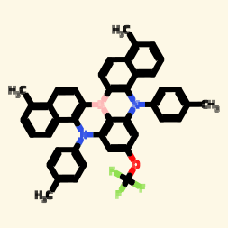 Cc1ccc(N2c3cc(OC(F)(F)F)cc4c3B(c3ccc5c(C)cccc5c32)c2ccc3c(C)cccc3c2N4c2ccc(C)cc2)cc1